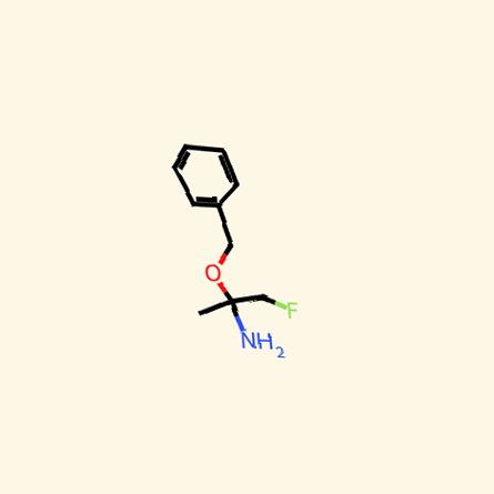 CC(N)(CF)OCc1ccccc1